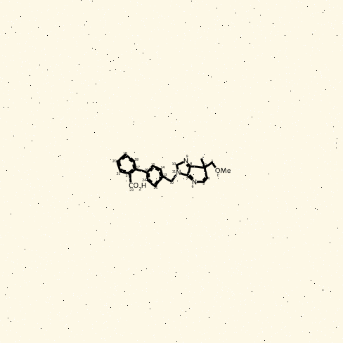 COCC1(C)C=CN=C2C1=NCN2Cc1ccc(-c2ccccc2C(=O)O)cc1